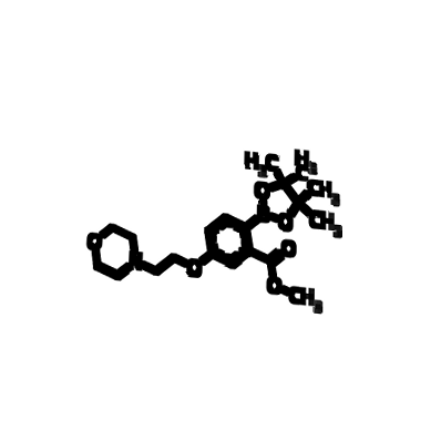 COC(=O)c1cc(OCCN2CCOCC2)ccc1B1OC(C)(C)C(C)(C)O1